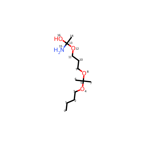 CCCCOC(C)(C)OCCCOC(C)(N)O